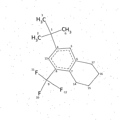 CC(C)(C)c1cc2c(c(C(F)(F)F)c1)CCCC2